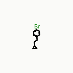 Brc1ccc(CC[C]2CC2)cc1